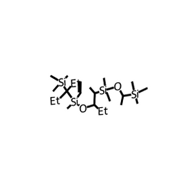 C=C[Si](C)(OC(CC)C(C)[Si](C)(C)OC(C)[Si](C)(C)C)C(CC)(CC)[Si](C)(C)C